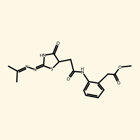 COC(=O)Cc1ccccc1NC(=O)CC1S/C(=N/N=C(C)C)NC1=O